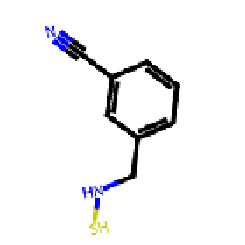 N#Cc1cccc(CNS)c1